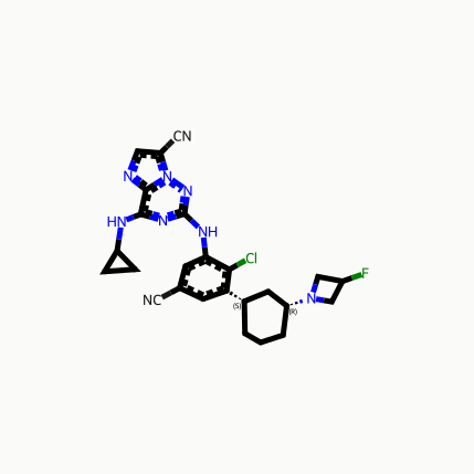 N#Cc1cc(Nc2nc(NC3CC3)c3ncc(C#N)n3n2)c(Cl)c([C@H]2CCC[C@@H](N3CC(F)C3)C2)c1